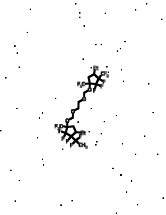 CCC1CC(OCOCCOCOC2(C(F)(F)F)CC(CC)C(F)(C(F)(F)F)C2(F)F)(C(F)(F)F)C(F)(F)C1(F)C(C)(F)F